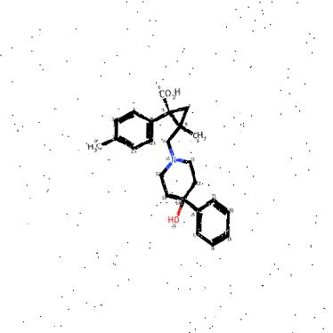 Cc1ccc([C@]2(C(=O)O)CC2(C)CN2CCC(O)(c3ccccc3)CC2)cc1